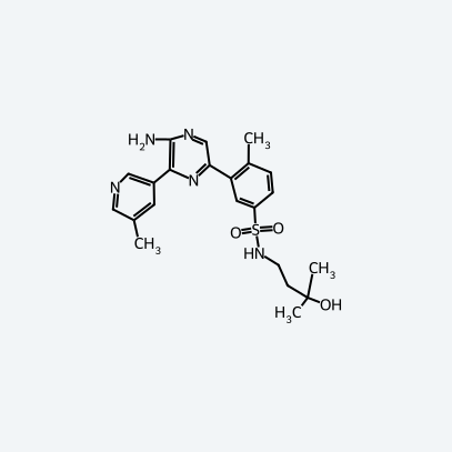 Cc1cncc(-c2nc(-c3cc(S(=O)(=O)NCCC(C)(C)O)ccc3C)cnc2N)c1